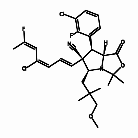 COCC(C)(C)C[C@@H]1N2[C@@H](C(=O)OC2(C)C)[C@H](c2cccc(Cl)c2F)[C@@]1(C#N)/C=C/C=C(Cl)\C=C(/C)F